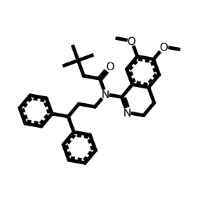 COc1cc2c(cc1OC)C(N(CCC(c1ccccc1)c1ccccc1)C(=O)CC(C)(C)C)=NCC2